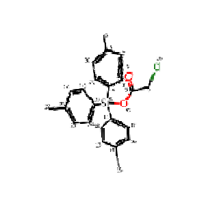 Cc1ccc([Si](OC(=O)CCl)(c2ccc(C)cc2)c2ccc(C)cc2)cc1